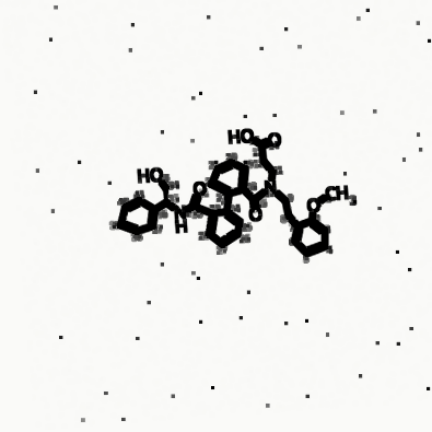 COc1ccccc1CCN(CCC(=O)O)C(=O)c1ccccc1-c1ccccc1C(=O)N[C@H](CO)c1ccccc1